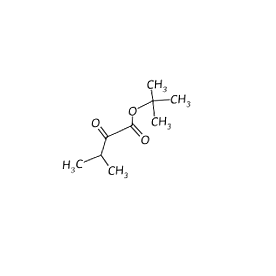 CC(C)C(=O)C(=O)OC(C)(C)C